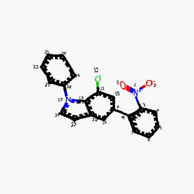 O=[N+]([O-])c1ccccc1-c1cc(Cl)c2c(ccn2-c2ccccc2)c1